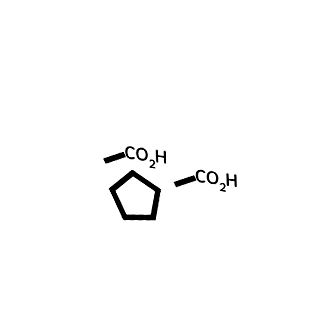 C1CCCC1.CC(=O)O.CC(=O)O